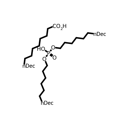 CCCCCCCCCCCCCCCCCC(=O)O.CCCCCCCCCCCCCCCCOP(=O)(O)OCCCCCCCCCCCCCCCC